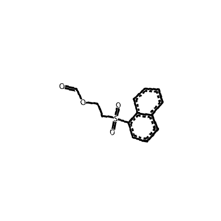 O=COCCS(=O)(=O)c1cccc2ccccc12